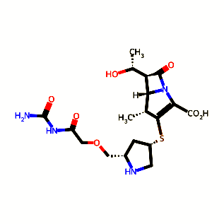 C[C@@H](O)[C@H]1C(=O)N2C(C(=O)O)=C(S[C@@H]3CN[C@H](COCC(=O)NC(N)=O)C3)[C@H](C)[C@H]12